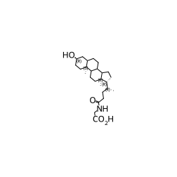 C[C@H](CCC(=O)NCC(=O)O)[C@H]1CCC2C3CCC4C[C@H](O)CC[C@]4(C)C3CC[C@@]21C